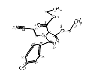 CCOC(=O)C(C(=O)OCC)N(CCC#N)C(=O)c1ccc(Cl)cc1